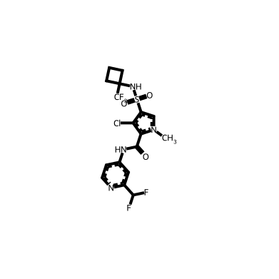 Cn1cc(S(=O)(=O)NC2(C(F)(F)F)CCC2)c(Cl)c1C(=O)Nc1ccnc(C(F)F)c1